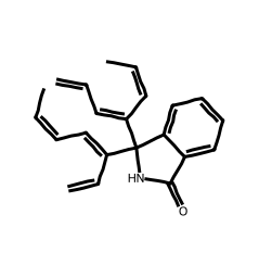 C=C/C=C(\C=C/C)C1(/C(C=C)=C/C=C\C)NC(=O)c2ccccc21